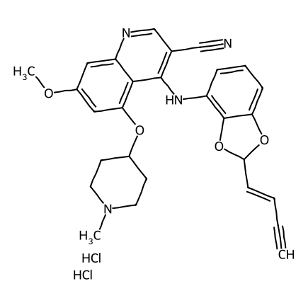 C#CC=CC1Oc2cccc(Nc3c(C#N)cnc4cc(OC)cc(OC5CCN(C)CC5)c34)c2O1.Cl.Cl